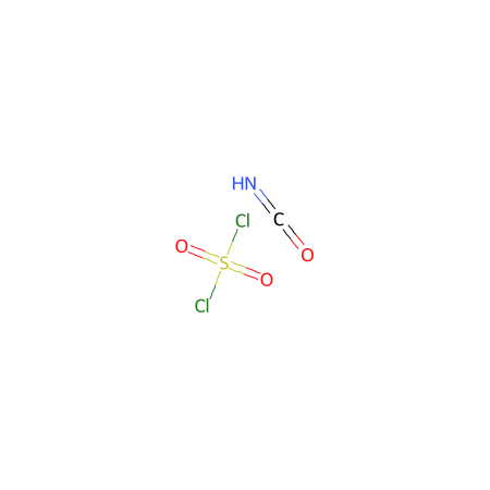 N=C=O.O=S(=O)(Cl)Cl